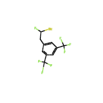 FC(S)Cc1cc(C(F)(F)F)cc(C(F)(F)F)c1